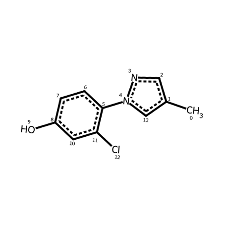 Cc1cnn(-c2ccc(O)cc2Cl)c1